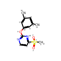 CS(=O)(=O)c1ccnc(Oc2cc(C#N)cc(C#N)c2)n1